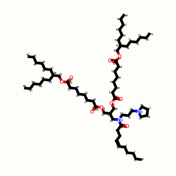 CCCCC/C=C\CCC(=O)N(CCCN1CCCC1)CC(COC(=O)CCCCCCC(=O)OCC(CCCCCC)CCCCCC)COC(=O)CCCCCCC(=O)OCC(CCCCCC)CCCCCC